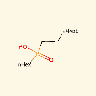 CCCCCCCCCP(=O)(O)CCCCCC